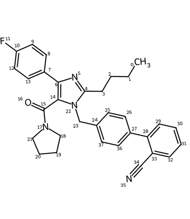 CCCCc1nc(-c2ccc(F)cc2)c(C(=O)N2CCCC2)n1Cc1ccc(-c2ccccc2C#N)cc1